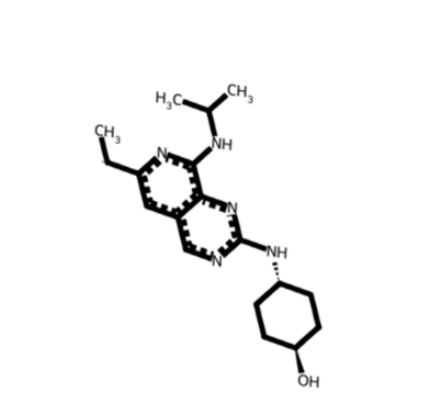 C[CH]c1cc2cnc(N[C@H]3CC[C@H](O)CC3)nc2c(NC(C)C)n1